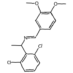 COc1ccc(C=NC(C)c2c(Cl)cccc2Cl)cc1OC